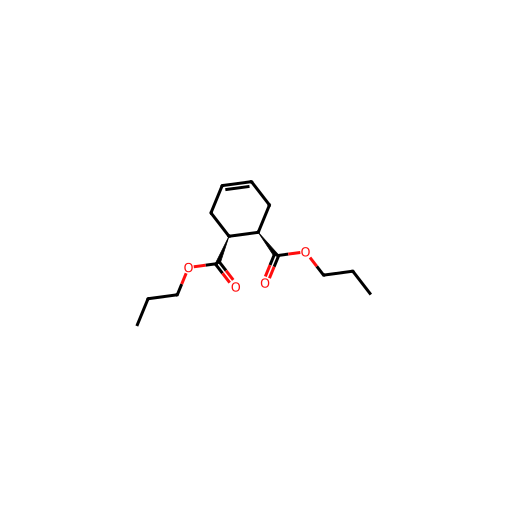 CCCOC(=O)[C@H]1CC=CC[C@H]1C(=O)OCCC